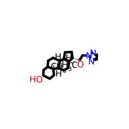 C[C@]12CC[C@H]3[C@@H](CCC4CC(O)CC[C@@]43C)[C@@H]1CC[C@@H]2C(=O)Cn1nccn1